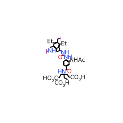 CCc1c(CI)c(CC)c2c(c1CNI)CC2NC(=O)Nc1ccc(C(=O)NC(CCC(=O)O)(CCC(=O)O)CCC(=O)O)cc1NC(C)=O